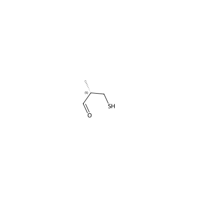 C[C@@H](C=O)CS